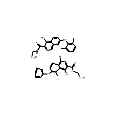 Cc1cccc(C)c1Oc1ccc2c(O)c(C(=O)NCC(=O)O)ncc2c1.O=C(O)CNC(=O)c1nc(Br)c2ccc(Oc3ccccc3)c(I)c2c1O